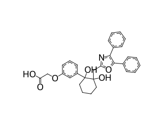 O=C(O)COc1cccc(C2(O)CCCCC2(O)Cc2nc(-c3ccccc3)c(-c3ccccc3)o2)c1